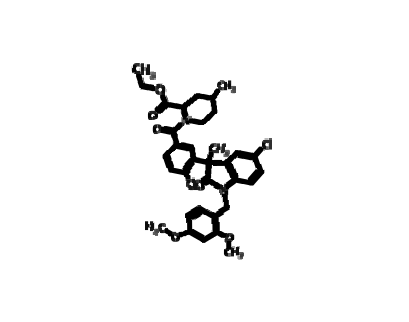 CCOC(=O)C1CC(C)CCN1C(=O)c1ccc(Cl)c(C2(C)C(=O)N(Cc3ccc(OC)cc3OC)c3ccc(Cl)cc32)c1